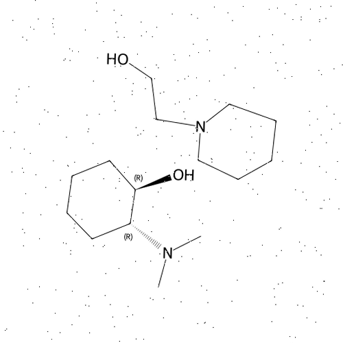 CN(C)[C@@H]1CCCC[C@H]1O.OCCN1CCCCC1